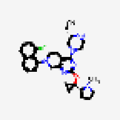 CN1CCC[C@H]1C1(Oc2nc3c(c(N4CCN[C@@H](CC#N)C4)n2)CCN(c2cccc4cccc(Cl)c24)C3)CC1